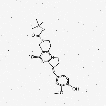 COc1cc(C=C2CCn3c2nc(=O)c2c3CCN(C(=O)OC(C)(C)C)C2)ccc1O